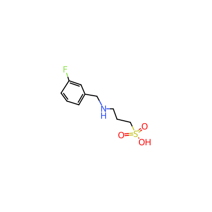 O=S(=O)(O)CCCNCc1cccc(F)c1